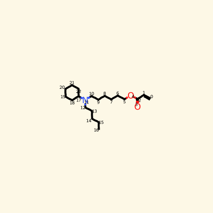 C=CC(=O)OCCCCCCN(CCCCC)C1CCCCC1